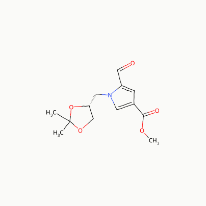 COC(=O)c1cc(C=O)n(C[C@@H]2COC(C)(C)O2)c1